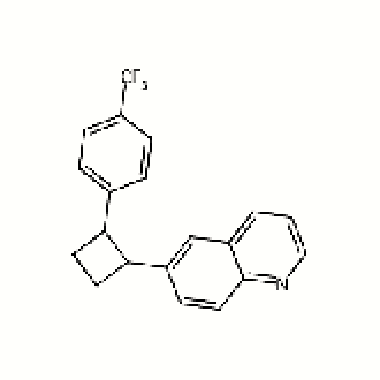 FC(F)(F)c1ccc(C2CCC2c2ccc3ncccc3c2)cc1